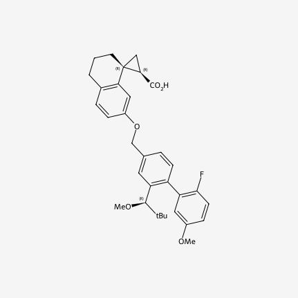 COc1ccc(F)c(-c2ccc(COc3ccc4c(c3)[C@]3(CCC4)C[C@H]3C(=O)O)cc2[C@H](OC)C(C)(C)C)c1